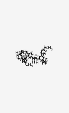 CCN1CCN(c2cc(NC(=O)Nc3ccc(C)c(Nc4cc(C)nn4-c4cc(NC)ncn4)c3)cc(C(F)(F)F)c2)CC1